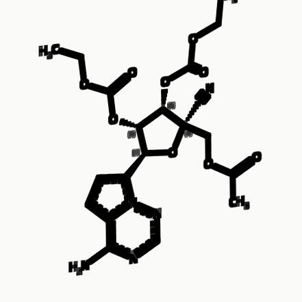 CCOC(=O)O[C@H]1[C@H](c2ccc3c(N)ncnn23)O[C@](C#N)(COC(C)=O)[C@H]1OC(=O)OCC